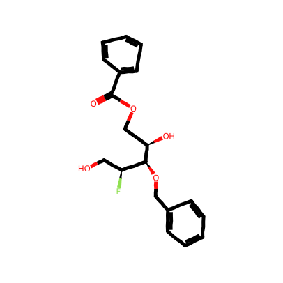 O=C(OC[C@@H](O)[C@@H](OCc1ccccc1)[C@@H](F)CO)c1ccccc1